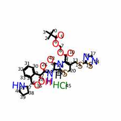 CC(C)(C)C(=O)OCOC(=O)C1=C(CSc2ncns2)CS[C@H]2C(NC(=O)C(O)c3ccccc3C(=O)[C@@H]3CCCN3)C(=O)N12.Cl